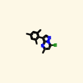 Cc1cc(C)c(-c2cnn3c(Cl)cc(C)nc23)c(C)c1